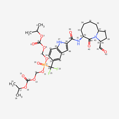 CC(C)OC(=O)OCOP(=O)(OCOC(=O)OC(C)C)C(F)(F)c1ccc2[nH]c(C(=O)N[C@H]3CCCCC4CC[C@@H](C=O)N4C3=O)cc2c1